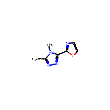 Cc1nnc(-c2ncco2)n1C